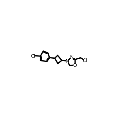 ClCC1=NN(C2CC(c3ccc(Cl)cc3)C2)CO1